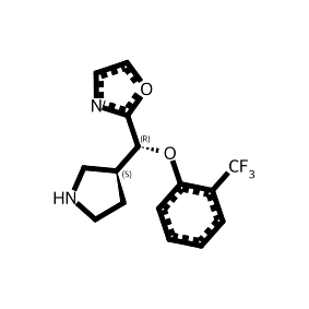 FC(F)(F)c1ccccc1O[C@@H](c1ncco1)[C@H]1CCNC1